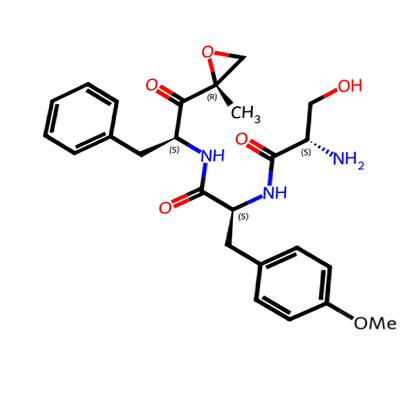 COc1ccc(C[C@H](NC(=O)[C@@H](N)CO)C(=O)N[C@@H](Cc2ccccc2)C(=O)[C@@]2(C)CO2)cc1